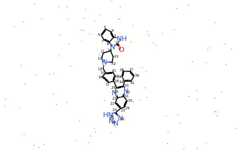 O=c1[nH]c2ccccc2n1C1CCN(Cc2ccc(-c3nc4cc(-c5nnn[nH]5)ccc4nc3-c3ccccc3)cc2)CC1